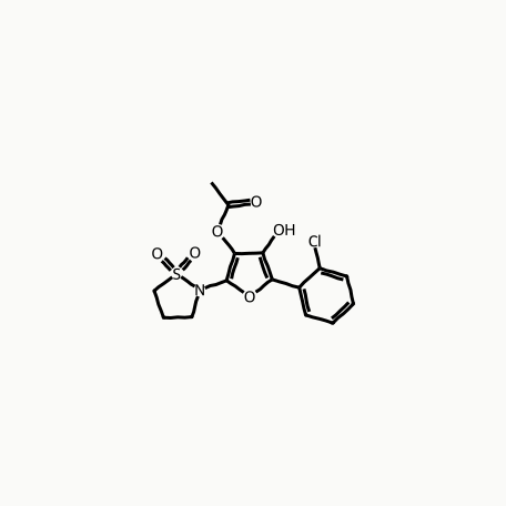 CC(=O)Oc1c(N2CCCS2(=O)=O)oc(-c2ccccc2Cl)c1O